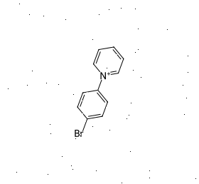 Brc1ccc(-[n+]2ccccc2)cc1